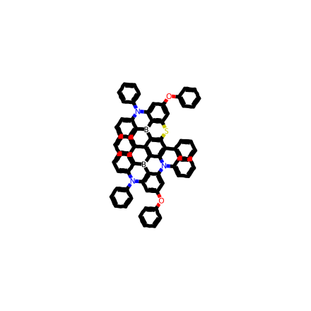 c1ccc(Oc2cc3c4c(c2)N(c2ccccc2)c2ccccc2B4c2c(c(-c4ccccc4)c4c(c2-c2ccccc2)B2c5ccccc5N(c5ccccc5)c5cc(Oc6ccccc6)cc(c52)N4c2ccccc2)S3)cc1